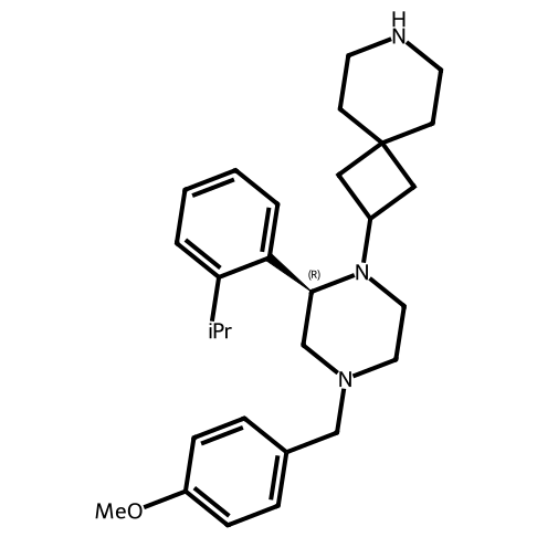 COc1ccc(CN2CCN(C3CC4(CCNCC4)C3)[C@H](c3ccccc3C(C)C)C2)cc1